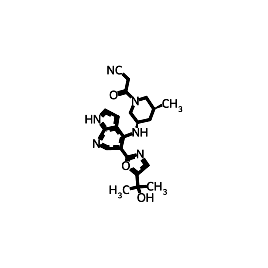 C[C@H]1C[C@@H](Nc2c(-c3ncc(C(C)(C)O)o3)cnc3[nH]ccc23)CN(C(=O)CC#N)C1